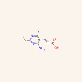 CSc1nc(C)c(/C=C/C(=O)O)c(N)n1